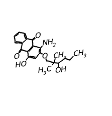 CCCC(O)C(C)(C)COc1cc(O)c2c(c1N)C(=O)c1ccccc1C2=O